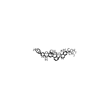 Cn1nc(-c2cccc(-n3ncc4cc(C(C)(C)C)cc(F)c4c3=O)c2CO)cc(Nc2ccc(N3C4CCC3CNC4)cn2)c1=O